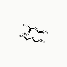 C=COC(=C)C.CCOCC